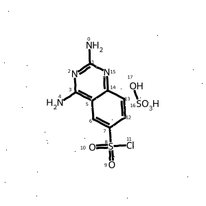 Nc1nc(N)c2cc(S(=O)(=O)Cl)ccc2n1.O=S(=O)(O)O